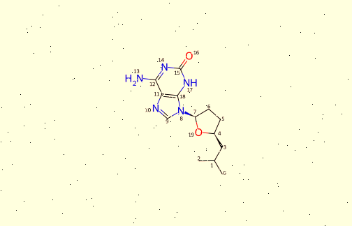 CC(C)C[C@@H]1CC[C@H](n2cnc3c(N)nc(=O)[nH]c32)O1